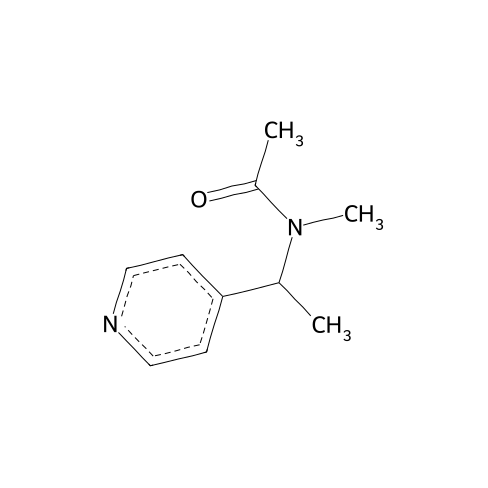 CC(=O)N(C)C(C)c1ccncc1